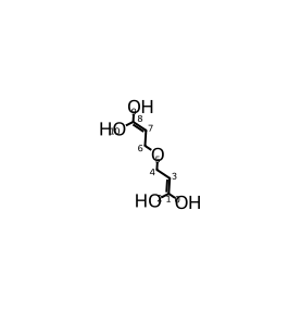 OC(O)=CCOCC=C(O)O